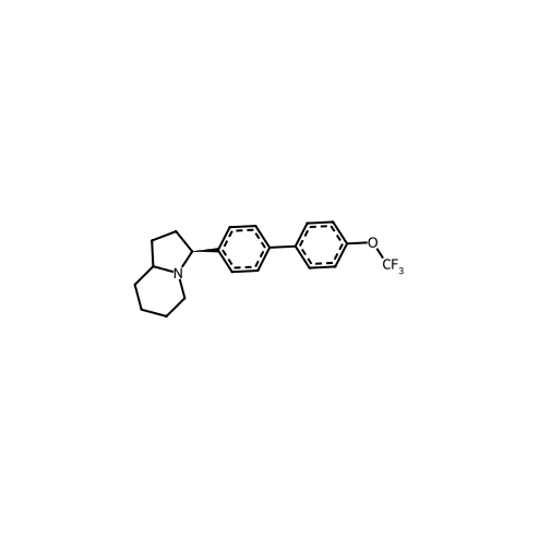 FC(F)(F)Oc1ccc(-c2ccc([C@@H]3CCC4CCCCN43)cc2)cc1